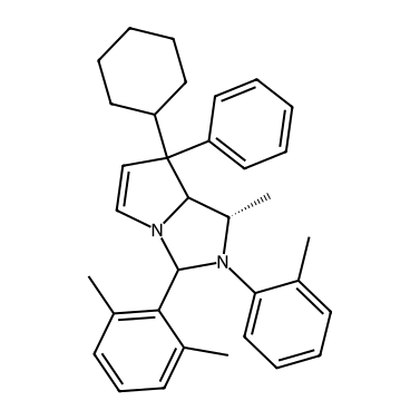 Cc1ccccc1N1C(c2c(C)cccc2C)N2C=CC(c3ccccc3)(C3CCCCC3)C2[C@@H]1C